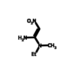 CCN(C)C(N)=C[N+](=O)[O-]